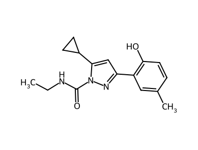 CCNC(=O)n1nc(-c2cc(C)ccc2O)cc1C1CC1